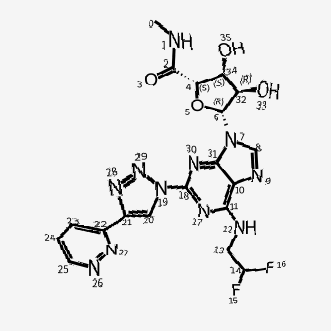 CNC(=O)[C@H]1O[C@@H](n2cnc3c(NCC(F)F)nc(-n4cc(-c5cccnn5)nn4)nc32)[C@H](O)[C@@H]1O